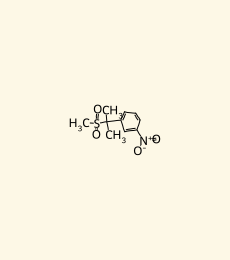 CC(C)(c1cccc([N+](=O)[O-])c1)S(C)(=O)=O